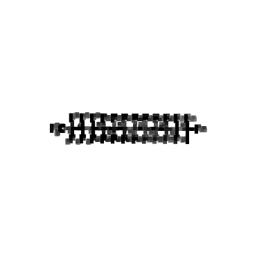 FC(F)(F)C(F)(F)C(F)(F)C(F)(F)C(F)(F)C(F)(F)C(F)(F)C(F)(F)C(F)(F)C(F)(F)C(F)(F)C(F)(F)C(F)(F)I